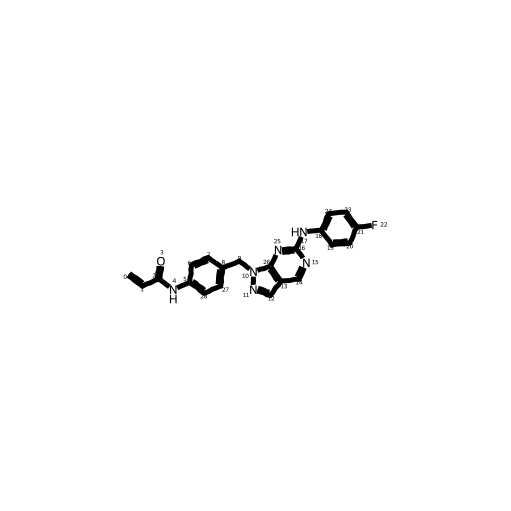 C=CC(=O)Nc1ccc(Cn2ncc3cnc(Nc4ccc(F)cc4)nc32)cc1